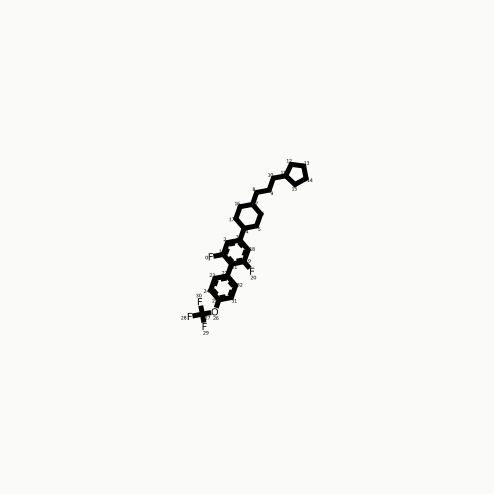 Fc1cc(C2CCC(CCCC3CCCC3)CC2)cc(F)c1-c1ccc(OC(F)(F)F)cc1